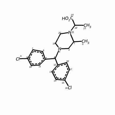 CC1CN(C(c2ccc(Cl)cc2)c2ccc(Cl)cc2)CCN1C(C)C(=O)O